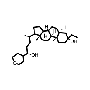 CC[C@]1(O)CC[C@@]2(C)[C@@H](CC[C@@H]3[C@@H]2CC[C@]2(C)[C@@H]([C@H](C)CC[C@@H](O)C4CCOCC4)CC[C@@H]32)C1